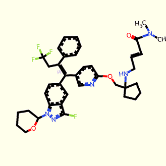 CN(C)C(=O)C=CCNC1(COc2ccc(/C(=C(/CC(F)(F)F)c3ccccc3)c3ccc4c(c3)c(F)nn4C3CCCCO3)cn2)CCCC1